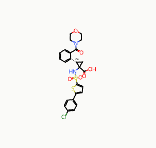 O=C(c1ccccc1[C@@H]1CC1(NS(=O)(=O)c1ccc(-c2ccc(Cl)cc2)s1)C(=O)O)N1CCOCC1